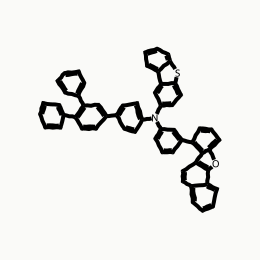 c1ccc(-c2ccc(-c3ccc(N(c4cccc(-c5cccc6oc7c8ccccc8ccc7c56)c4)c4ccc5sc6ccccc6c5c4)cc3)cc2-c2ccccc2)cc1